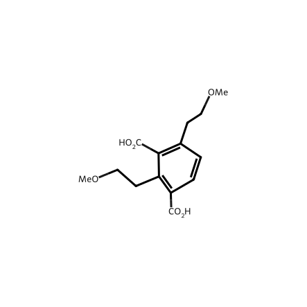 COCCc1ccc(C(=O)O)c(CCOC)c1C(=O)O